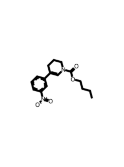 CCCCOC(=O)N1C=C(c2cccc([N+](=O)[O-])c2)CCC1